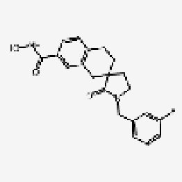 O=C(NO)c1ccc2c(c1)C[C@@]1(CC2)CCN(Cc2cccc(F)c2)C1=O